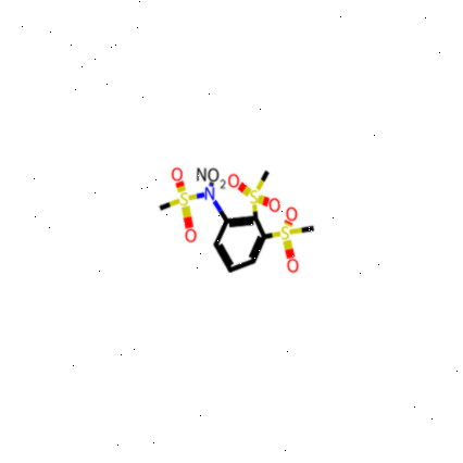 CS(=O)(=O)c1cccc(N([N+](=O)[O-])S(C)(=O)=O)c1S(C)(=O)=O